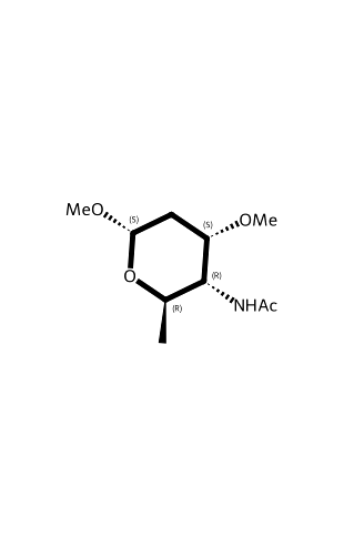 CO[C@@H]1C[C@H](OC)[C@H](NC(C)=O)[C@@H](C)O1